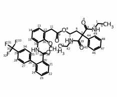 CCNC(=O)C(CCOC(=O)Cc1cccc(NC(=O)c2ccccc2-c2ccc(C(F)(F)F)cc2)c1OC)(C(=O)NCC)c1ccccc1